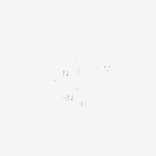 COc1ccc(C(CC(=O)NO)N2C(=O)c3cccc(C)c3C2=O)cc1OC1CCCC1